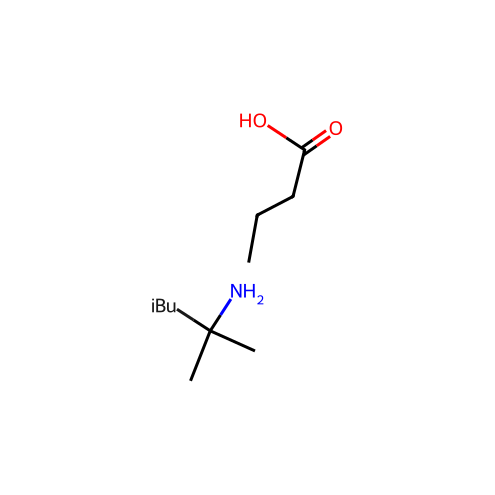 CCC(C)C(C)(C)N.CCCC(=O)O